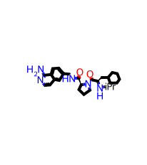 CC(C)N[C@H](CC1CCCCC1)C(=O)N1CCC[C@H]1C(=O)NCc1ccc2c(N)nccc2c1